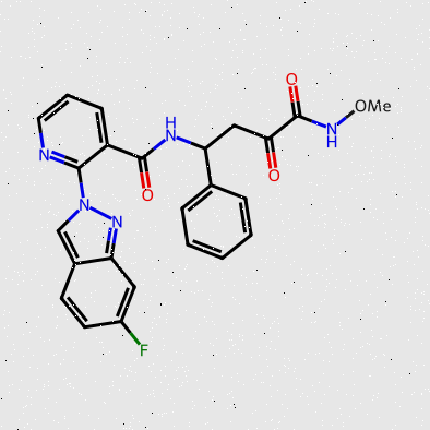 CONC(=O)C(=O)CC(NC(=O)c1cccnc1-n1cc2ccc(F)cc2n1)c1ccccc1